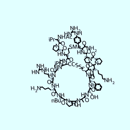 CCCC[C@@H]1NC(=O)[C@H](CCCCN)NC(=O)[C@H](CCCNC(=N)N)NC(=O)[C@H](CC(C)C)NC(=O)C(NC(=O)[C@H](CCSC)NC(=O)[C@@H]2CCCN2C(=O)[C@@H](NC(C)=O)C(C)C)CCSSCC(C(=O)N[C@@H](CCCCN)C(=O)N2CCC[C@H]2C(=O)N2CCC[C@H]2C(=O)N[C@@H](Cc2ccc(NC(=N)N)cc2)C(N)=O)NC(=O)[C@H](Cc2ccccc2)NC(=O)[C@H](CO)NC(=O)C(C)NC(=O)[C@@H]2CCCN2C1=O